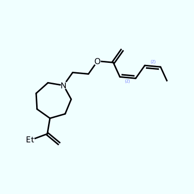 C=C(/C=C\C=C/C)OCCN1CCCC(C(=C)CC)CC1